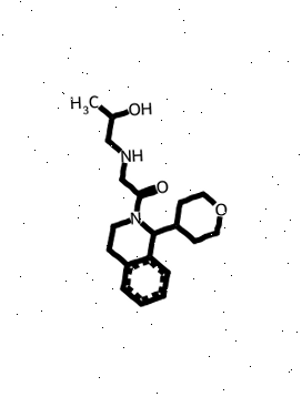 CC(O)CNCC(=O)N1CCc2ccccc2C1C1CCOCC1